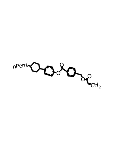 C=CC(=O)OCc1ccc(C(=O)Oc2ccc(C3CCC(CCCCC)CC3)cc2)cc1